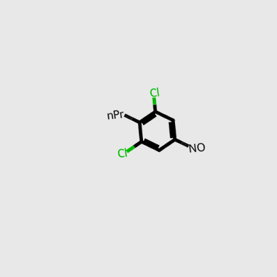 CCCc1c(Cl)cc(N=O)cc1Cl